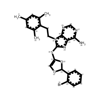 Cc1cc(C)c(CCn2c(SC3=COC(c4ccccc4Br)O3)nc3c(N)ncnc32)c(C)c1